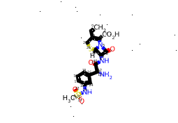 C=CC1=C(C(=O)O)N2C(=O)C(NC(=O)[C@H](N)c3cccc(NS(C)(=O)=O)c3)[C@@H]2SC1